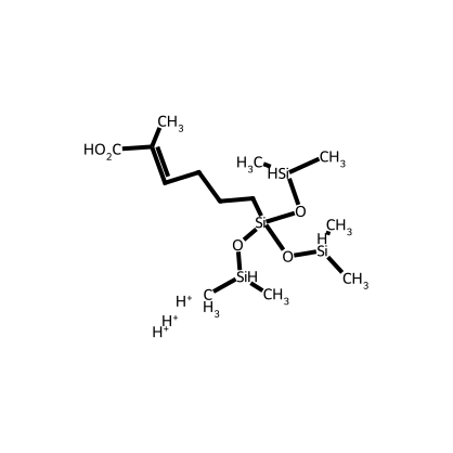 CC(=CCCC[Si](O[SiH](C)C)(O[SiH](C)C)O[SiH](C)C)C(=O)O.[H+].[H+].[H+]